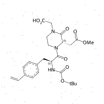 C=Cc1ccc(C[C@H](NC(=O)OC(C)(C)C)C(=O)N2CCN(CC(=O)O)C(=O)[C@@H]2CC(=O)OC)cc1